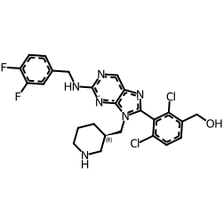 OCc1ccc(Cl)c(-c2nc3cnc(NCc4ccc(F)c(F)c4)nc3n2C[C@@H]2CCCNC2)c1Cl